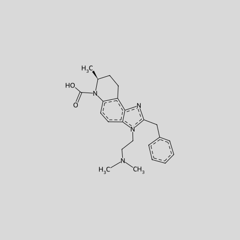 C[C@H]1CCc2c(ccc3c2nc(Cc2ccccc2)n3CCN(C)C)N1C(=O)O